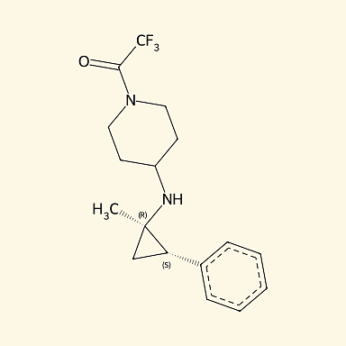 C[C@@]1(NC2CCN(C(=O)C(F)(F)F)CC2)C[C@H]1c1ccccc1